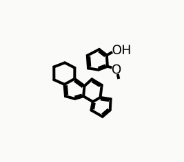 COc1ccccc1O.c1ccc2c(c1)ccc1c3c(ccc12)CCCC3